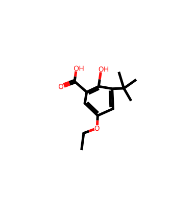 CCOc1cc(C(=O)O)c(O)c(C(C)(C)C)c1